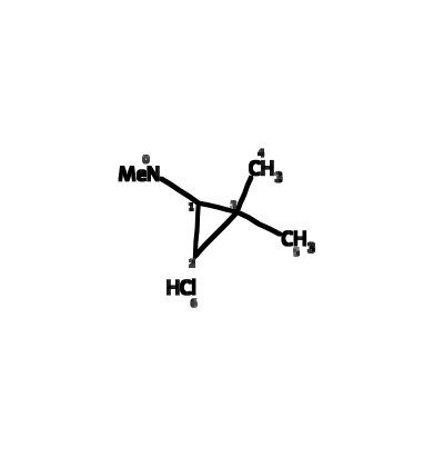 CNC1CC1(C)C.Cl